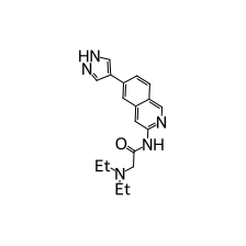 CCN(CC)CC(=O)Nc1cc2cc(-c3cn[nH]c3)ccc2cn1